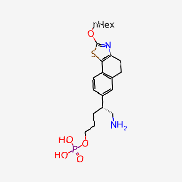 CCCCCCOc1nc2c(s1)-c1ccc([C@H](CN)CCCOP(=O)(O)O)cc1CC2